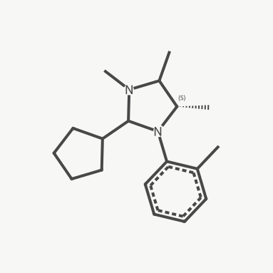 Cc1ccccc1N1C(C2CCCC2)N(C)C(C)[C@@H]1C